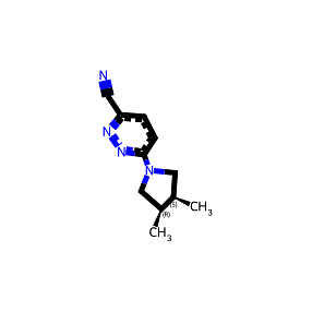 C[C@@H]1CN(c2ccc(C#N)nn2)C[C@@H]1C